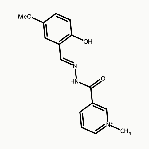 COc1ccc(O)c(/C=N/NC(=O)c2ccc[n+](C)c2)c1